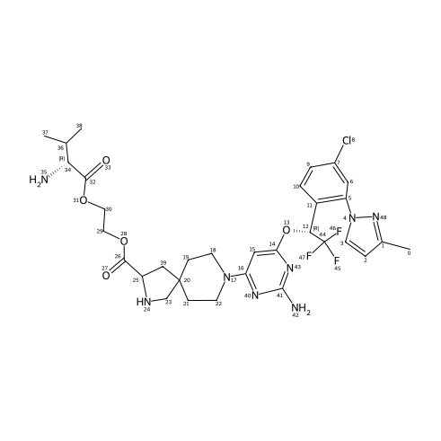 Cc1ccn(-c2cc(Cl)ccc2[C@@H](Oc2cc(N3CCC4(CC3)CNC(C(=O)OCCOC(=O)[C@H](N)C(C)C)C4)nc(N)n2)C(F)(F)F)n1